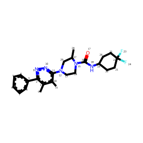 Cc1c(-c2ccccc2)nnc(N2CCN(C(=O)NC3CCC(F)(F)CC3)C(C)C2)c1C